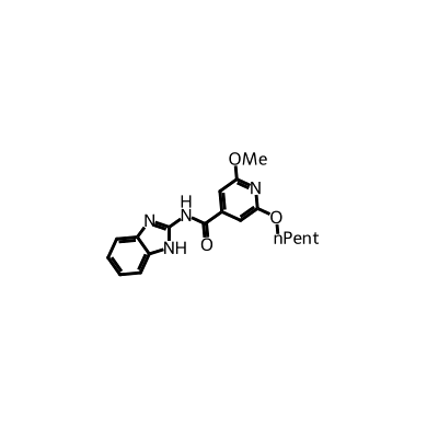 CCCCCOc1cc(C(=O)Nc2nc3ccccc3[nH]2)cc(OC)n1